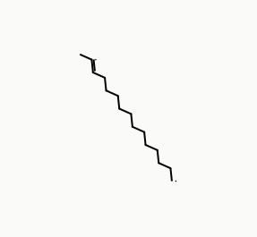 [CH2]CCCCCCCCCCC/C=[C]/C